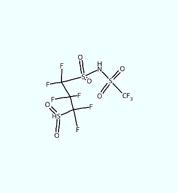 O=[SH](=O)C(F)(F)C(F)(F)C(F)(F)S(=O)(=O)NS(=O)(=O)C(F)(F)F